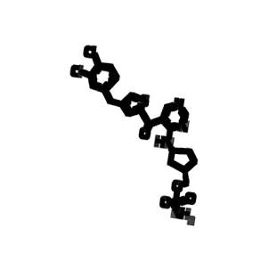 NS(=O)(=O)OC[C@@H]1CC[C@H](Nc2ncncc2C(=O)c2cc(Cc3ccc(Cl)c(Cl)c3)cs2)C1